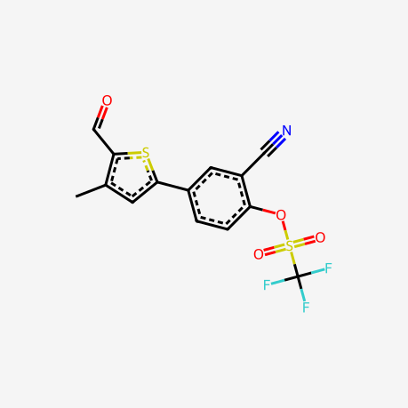 Cc1cc(-c2ccc(OS(=O)(=O)C(F)(F)F)c(C#N)c2)sc1C=O